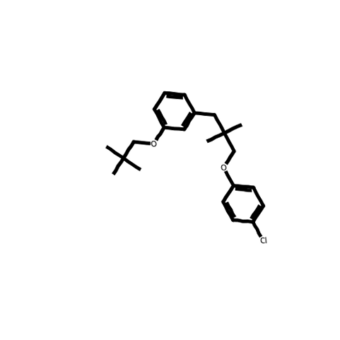 CC(C)(C)COc1cccc(CC(C)(C)COc2ccc(Cl)cc2)c1